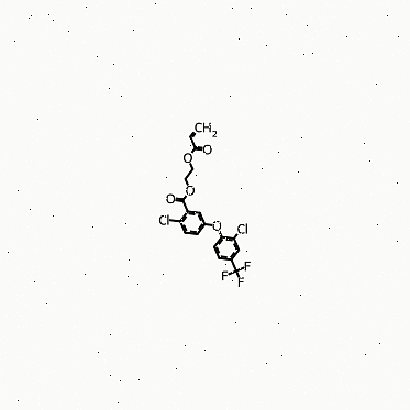 C=CC(=O)OCCOC(=O)c1cc(Oc2ccc(C(F)(F)F)cc2Cl)ccc1Cl